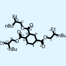 CCCCC(CC)COC(=O)C1CCC(C(=O)OCC(CC)CCCC)C(C(=O)OCC(CC)CCCC)C1